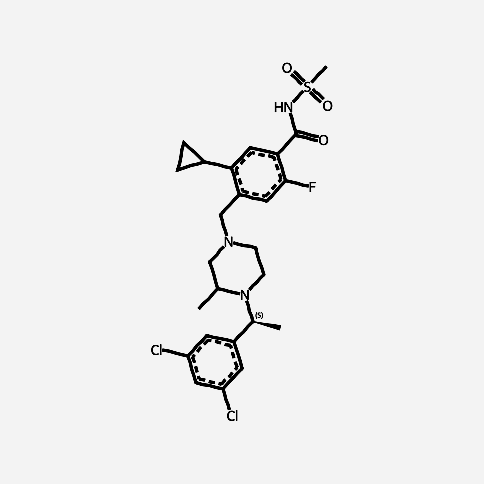 CC1CN(Cc2cc(F)c(C(=O)NS(C)(=O)=O)cc2C2CC2)CCN1[C@@H](C)c1cc(Cl)cc(Cl)c1